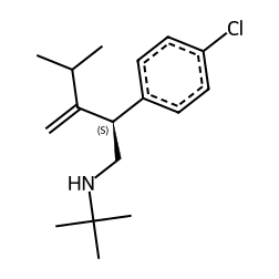 C=C(C(C)C)[C@H](CNC(C)(C)C)c1ccc(Cl)cc1